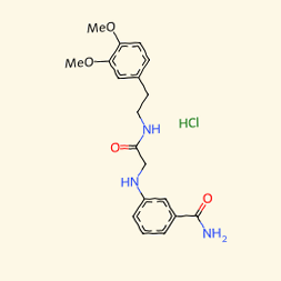 COc1ccc(CCNC(=O)CNc2cccc(C(N)=O)c2)cc1OC.Cl